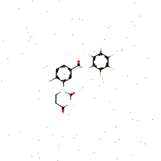 O=C1CCN(c2cc(C(=O)Oc3c(F)c(F)c(F)c(F)c3F)ccc2Cl)C(=O)N1